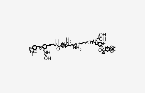 CC(C)(COCCCCCOC/C(N)=C/C=C(\N)Cn1cc(C(=O)NCCC#Cc2ccc(OCc3ccc(F)c(C(F)(F)F)c3)c(CNCCO)c2)cn1)c1cc2cc(NC(=O)C3(c4ccc5c(c4)OC(F)(F)O5)CC3)c(F)cc2n1CC(O)CO